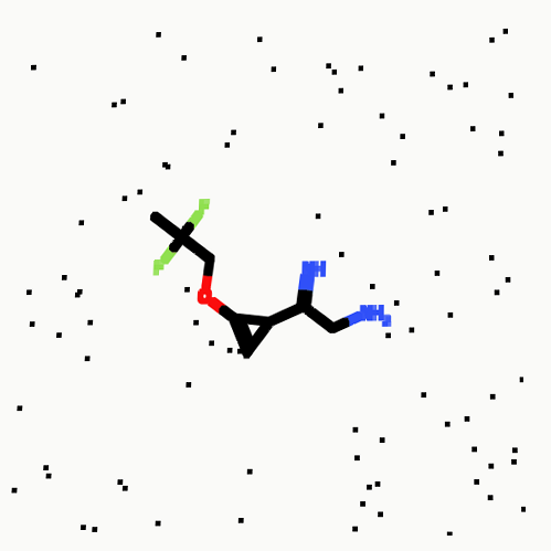 CC(F)(F)COC1=CC1C(=N)CN